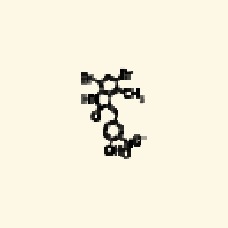 Cc1c(Br)cc(Br)c2c1C(=Cc1ccc(O)c([N+](=O)[O-])c1)C(=O)N2